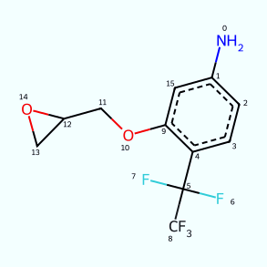 Nc1ccc(C(F)(F)C(F)(F)F)c(OCC2CO2)c1